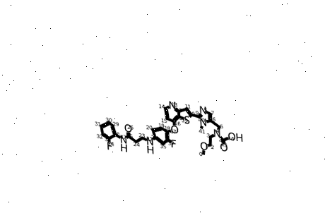 COCCN(Cc1cnc(-c2cc3nccc(Oc4ccc(NCCC(=O)Nc5ccccc5F)cc4F)c3s2)n1C)C(=O)O